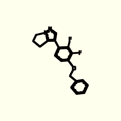 Fc1c(OCc2ccccc2)ccc(-c2cnn3c2CCC3)c1F